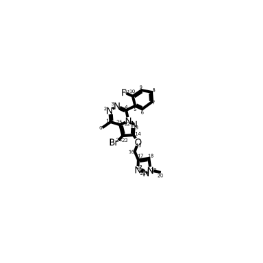 Cc1nnc(-c2ccccc2F)n2nc(OCc3cn(C)nn3)c(Br)c12